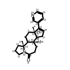 C[C@]12CCC3[C@@H](CCC(=O)N4CCC[C@]34C)[C@@H]1CC=C2c1cccnc1